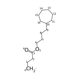 [CH2]CCC(=O)OCCCCC1CCCCCC1